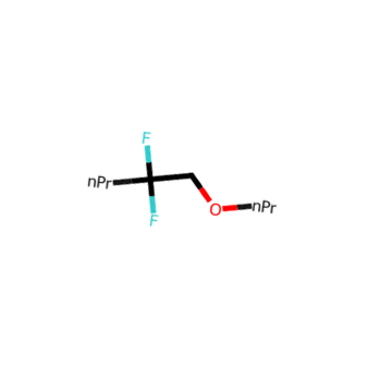 CCCOCC(F)(F)CCC